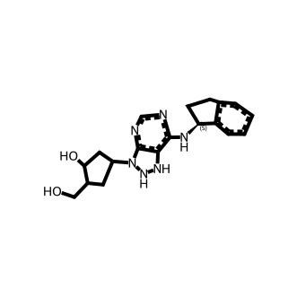 OCC1CC(N2NNc3c(N[C@H]4CCc5ccccc54)ncnc32)CC1O